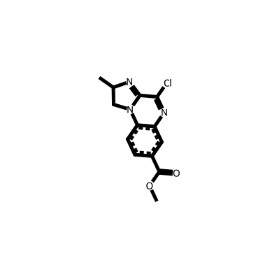 COC(=O)c1ccc2c(c1)N=C(Cl)C1=NC(C)CN12